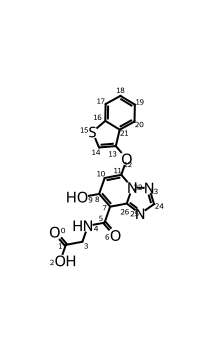 O=C(O)CNC(=O)c1c(O)cc(Oc2csc3ccccc23)n2ncnc12